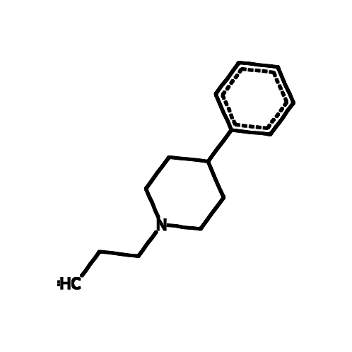 [CH]CCN1CCC(c2ccccc2)CC1